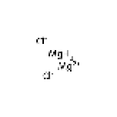 [Cl-].[Cl-].[Mg+2].[MgH2]